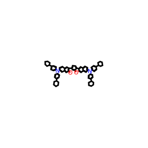 c1cc(N(c2ccc(C3CCCCC3)cc2)c2ccc3cc4c(cc3c2)oc2c4ccc3c4cc5ccc(N(c6ccc(C7CCCCC7)cc6)c6ccc(C7CCCCC7)cc6)cc5cc4oc32)ccc1C1CCCCC1